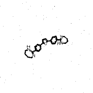 c1cc(-c2ccc(-c3ccc(C4=NCCCCN4)cc3)o2)ccc1C1=NCCCCN1